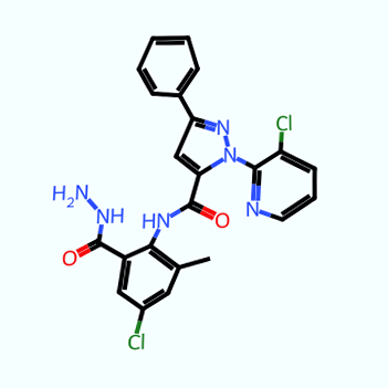 Cc1cc(Cl)cc(C(=O)NN)c1NC(=O)c1cc(-c2ccccc2)nn1-c1ncccc1Cl